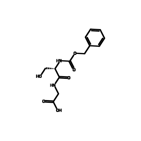 O=C(O)CNC(=O)[C@H](CO)NC(=O)OCc1ccccc1